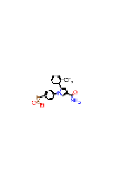 NC(=O)c1cc(-c2ccccc2C(F)(F)F)n(-c2ccc(C[SH](=O)=O)cc2)c1